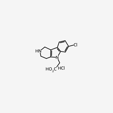 Cl.O=C(O)Cn1c2c(c3ccc(Cl)cc31)CNCC2